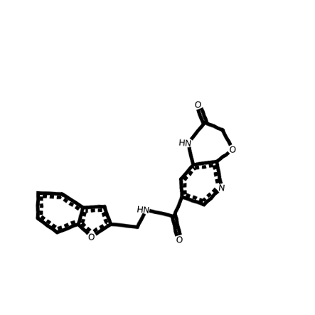 O=C1COc2ncc(C(=O)NCc3cc4ccccc4o3)cc2N1